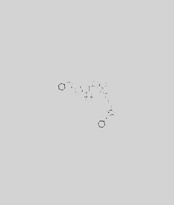 CCCC(NC(=O)[C@H]1C(C(=O)[C@@H](NC(=O)[C@@H](NC(=O)CCCCc2nnn(C(C)(C)c3ccccc3)n2)C(C)C)C(C)C)C[C@@H]2CCC[C@@H]21)C(O)C(=O)N[C@@H](C)c1ccccc1